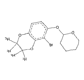 [2H]C1([2H])Oc2ccc(OC3CCCCO3)c(Br)c2OC1([2H])[2H]